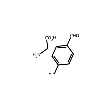 NCC(=O)O.O=Cc1ccc(C(F)(F)F)cc1